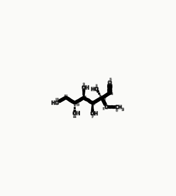 CO[C@](O)(C=O)[C@@H](O)[C@H](O)[C@H](O)CO